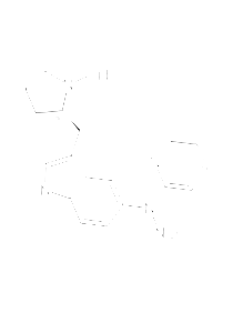 CN1CCC[C@@H]1Cc1c[nH]c2ccc(N(c3ccccn3)[N+](=O)[O-])cc12